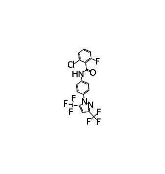 O=C(Nc1ccc(-n2nc(C(F)(F)F)cc2C(F)(F)F)cc1)c1c(F)cccc1Cl